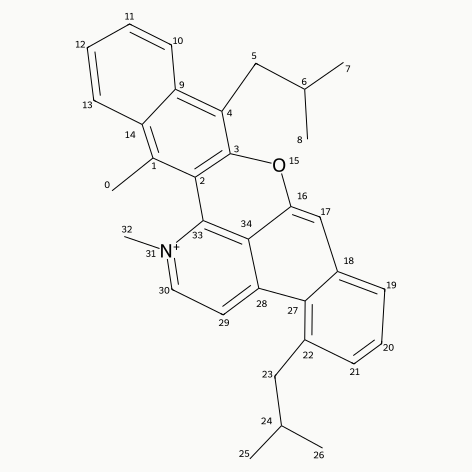 Cc1c2c(c(CC(C)C)c3ccccc13)Oc1cc3cccc(CC(C)C)c3c3cc[n+](C)c-2c13